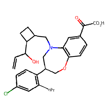 C=CC(O)C1CCC1CN1CC(c2ccc(Cl)cc2CCC)COc2ccc(C(=O)C(=O)O)cc21